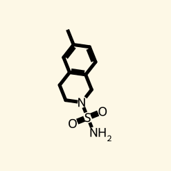 Cc1ccc2c(c1)CCN(S(N)(=O)=O)C2